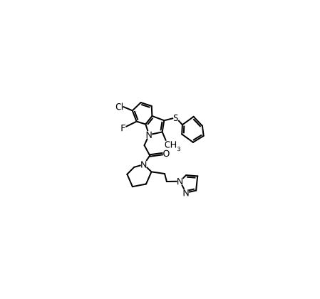 Cc1c(Sc2ccccc2)c2ccc(Cl)c(F)c2n1CC(=O)N1CCCCC1CCn1cccn1